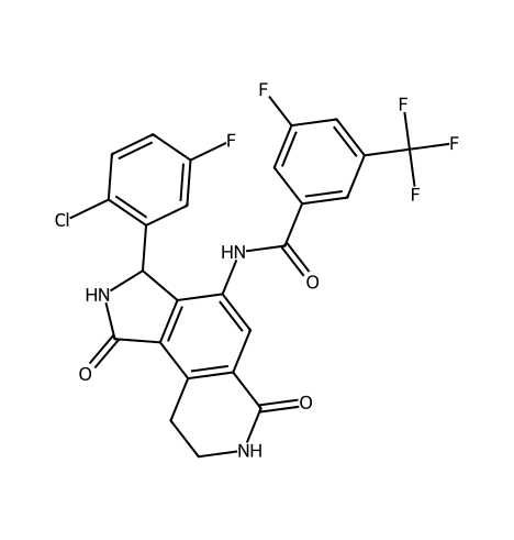 O=C(Nc1cc2c(c3c1C(c1cc(F)ccc1Cl)NC3=O)CCNC2=O)c1cc(F)cc(C(F)(F)F)c1